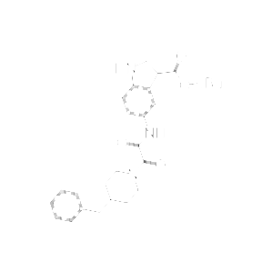 CC(C)(C)OC(=O)C1CNc2ccc(NC(=O)C(=O)N3CCC(Cc4ccccc4)CC3)cc21